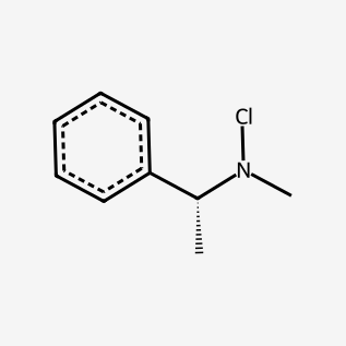 C[C@H](c1ccccc1)N(C)Cl